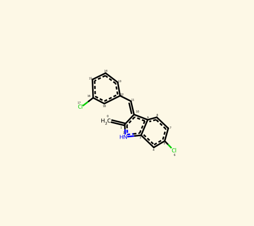 C=c1[nH]c2cc(Cl)ccc2/c1=C/c1cccc(Cl)c1